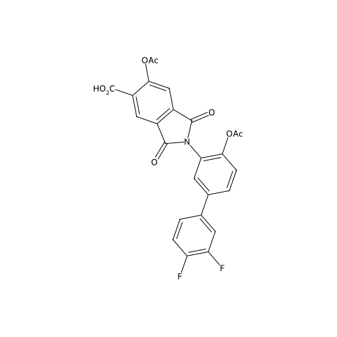 CC(=O)Oc1cc2c(cc1C(=O)O)C(=O)N(c1cc(-c3ccc(F)c(F)c3)ccc1OC(C)=O)C2=O